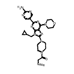 CNCC(=O)N1CCN(c2nc3c(N4CCOCC4)nc(-c4cnc(N)nc4)nc3n2CC2CC2)CC1